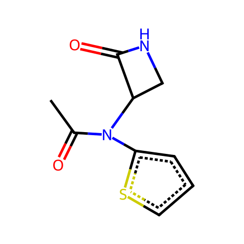 CC(=O)N(c1cccs1)C1CNC1=O